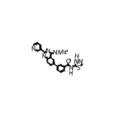 CNc1nc(-c2cccnc2)nc2ccc(-c3cccc(C(=O)NC4NN=CS4)c3)cc12